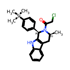 C[C@H]1Cc2c([nH]c3ccccc23)[C@@H](c2ccc([Si](C)(C)C)cc2)N1C(=O)CCl